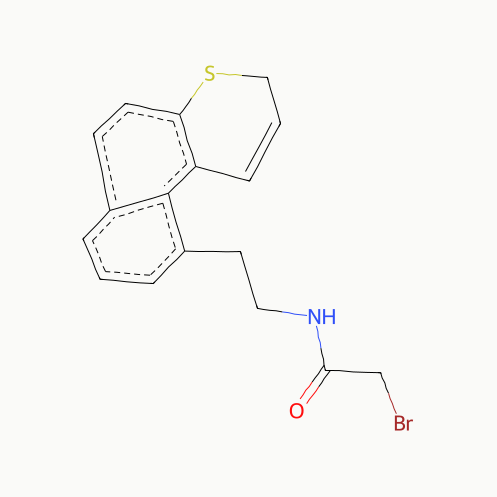 O=C(CBr)NCCc1cccc2ccc3c(c12)C=CCS3